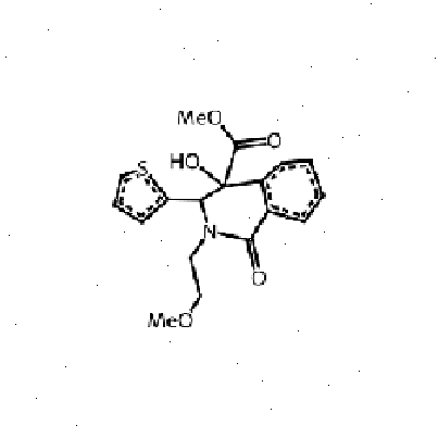 COCCN1C(=O)c2ccccc2C(O)(C(=O)OC)C1c1cccs1